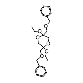 CCOC1(COCc2ccccc2)COC(COCc2ccccc2)(OCC)CO1